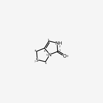 O=c1[nH]cc2n1CSC2